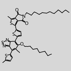 CCCCCCCCCCCCN1C(=O)c2c(C)sc(-c3ccc(-c4c(OCCCCCCCC)c(C)c(-c5ccc(C)s5)c5nsnc45)s3)c2C1=O